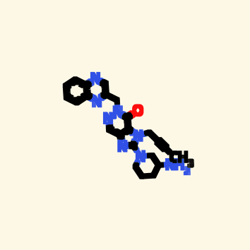 CC#CCn1c(N2CCCC(N)C2)nc2cnn(Cc3cnc4ccccc4n3)c(=O)c21